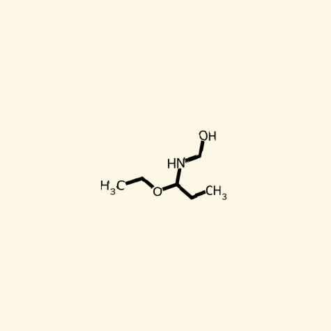 CCOC(CC)NCO